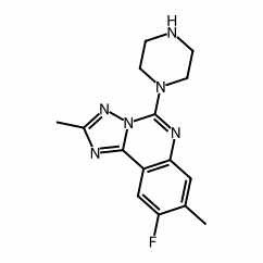 Cc1nc2c3cc(F)c(C)cc3nc(N3CCNCC3)n2n1